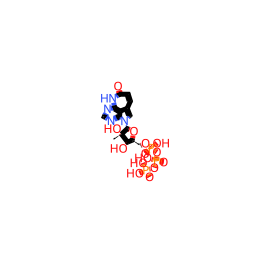 C[C@@]1(O)[C@H](O)[C@@H](COP(=O)(O)OP(=O)(O)OP(=O)(O)O)O[C@H]1n1cc2c3c(ncnc31)NC(=O)C=C2